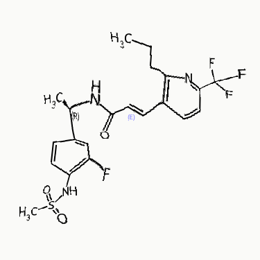 CCCc1nc(C(F)(F)F)ccc1/C=C/C(=O)N[C@H](C)c1ccc(NS(C)(=O)=O)c(F)c1